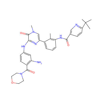 Cc1c(NC(=O)c2ccc(C(C)(C)C)nc2)cccc1-c1cn(C)c(=O)c(Nc2ccc(C(=O)N3CCOCC3)c(N)c2)n1